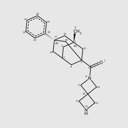 C[C@]12CC3CC(C(=O)N4CC5(CNC5)C4)(C1)C[C@@](c1ccccc1)(C3)C2